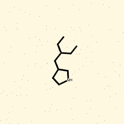 CCC(CC)CC1CCNC1